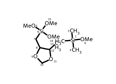 CO[Si](C)(C)C.CO[Si](CC1OCOC1C)(OC)OC